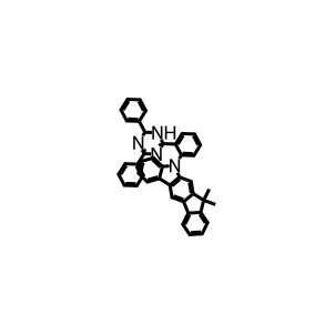 CC1(C)c2ccccc2-c2cc3c4ccccc4n(-c4ccccc4C4=NC(c5ccccc5)=NC(c5ccccc5)N4)c3cc21